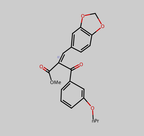 CCCOc1cccc(C(=O)/C(=C\c2ccc3c(c2)OCO3)C(=O)OC)c1